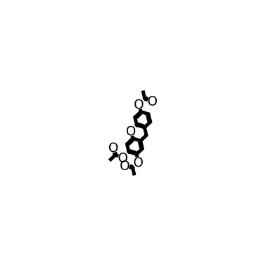 CC(=O)Oc1ccc2c(c1)Oc1cc(OC(C)=O)c(OC(C)=O)cc1C2